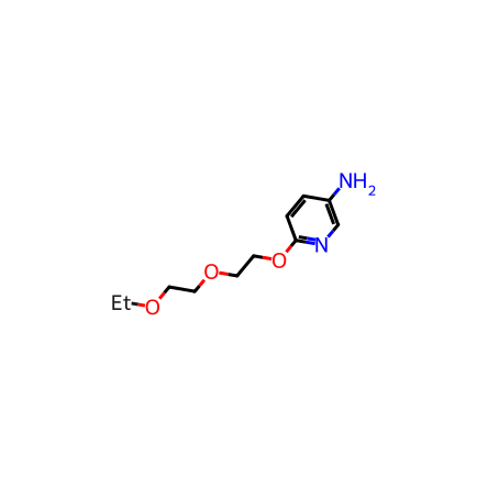 CCOCCOCCOc1ccc(N)cn1